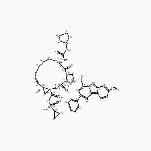 Cc1ccc2c(c1)nn1c(O[C@@H]3C[C@H]4C(=O)N[C@]5(C(=O)NS(=O)(=O)C6CC6)C[C@H]5/C=C\CCCCC[C@H](NC(=O)OC5CCCC5)C(=O)N4C3)cc(-c3ccccc3)nc21